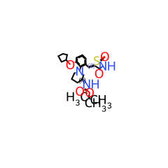 CC(C)(C)OC(=O)N[C@@H]1CCCN(c2c(/C=C3\SC(=O)NC3=O)cccc2OC2CCCC2)C1